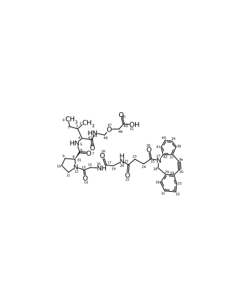 CCC(C)C(NC(=O)[C@@H]1CCCN1C(=O)CNC(=O)CNC(=O)CCC(=O)N1Cc2ccccc2C#Cc2ccccc21)C(=O)NCOCC(=O)O